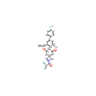 COc1cc(-c2ccc(F)cc2)cc(C)c1C1C(=O)CC2(CC1=O)CN(C(=O)C(F)F)C2